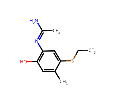 Cc1cc(O)c(/N=C(/N)C(F)(F)F)cc1SCC(F)(F)F